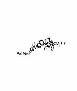 CC(=O)NC[C@H]1CN(c2ccc3c(c2)CCCN(c2c(F)cc4c(=O)c(C(=O)O)cn(C5CC5)c4c2F)C3)C(=O)O1